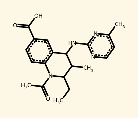 CCC1C(C)C(Nc2nccc(C)n2)c2cc(C(=O)O)ccc2N1C(C)=O